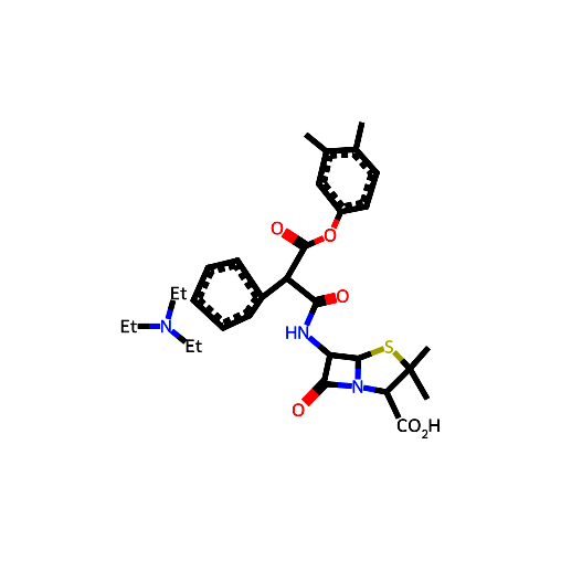 CCN(CC)CC.Cc1ccc(OC(=O)C(C(=O)NC2C(=O)N3C2SC(C)(C)C3C(=O)O)c2ccccc2)cc1C